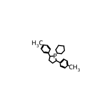 Cc1ccc(C2CCC(c3ccc(C)cc3)P2C2CCCCC2)cc1